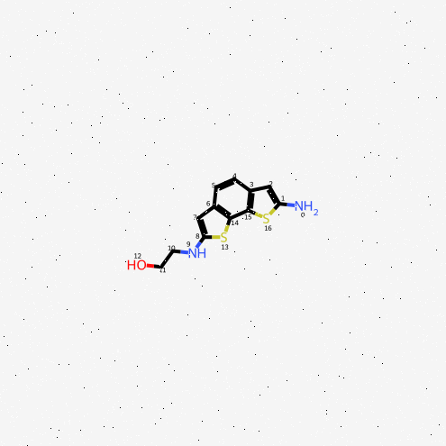 Nc1cc2ccc3cc(NCCO)sc3c2s1